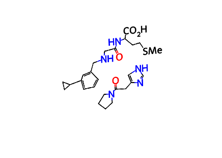 CSCCC(NC(=O)CNCc1cccc(C2CC2)c1)C(=O)O.O=C(Cc1c[nH]cn1)N1CCCC1